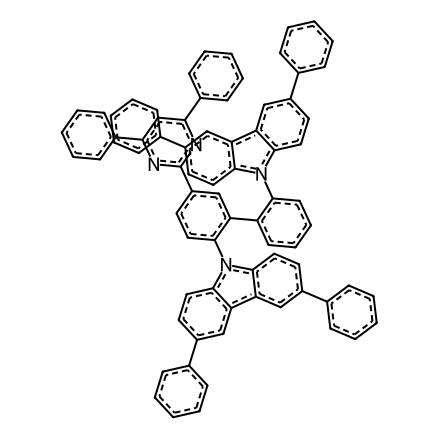 c1ccc(-c2ccc3c(c2)c2cc(-c4ccccc4)ccc2n3-c2ccccc2-c2cc(-c3nc(-c4ccccc4)cc(-c4ccccc4)n3)ccc2-n2c3ccc(-c4ccccc4)cc3c3cc(-c4ccccc4)ccc32)cc1